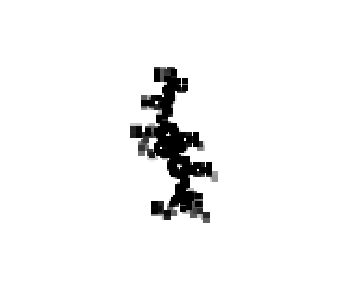 CCC(O)(CC)CCc1ccc(C(CC)(CC)c2ccc(OC[C@@H](O)CCC(=O)O)c(C)c2)cc1C